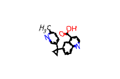 Cc1ccc(C2(c3ccc4nccc(C(=O)O)c4c3)CC2)cn1